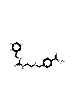 COC(=O)c1ccc(COCCNC(=O)OCc2ccccc2)cc1